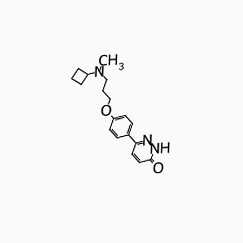 CN(CCCOc1ccc(-c2ccc(=O)[nH]n2)cc1)C1CCC1